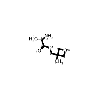 C[C@H](N)C(=O)OCC1(C)COC1